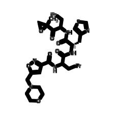 CC(C)CC(NC(=O)c1cc(CN2CCOCC2)on1)C(=O)N[C@@H](Cc1cscn1)C(=O)NC(CC(C)C)C(=O)C1(C)CO1